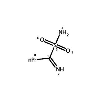 CCCC(=N)S(N)(=O)=O